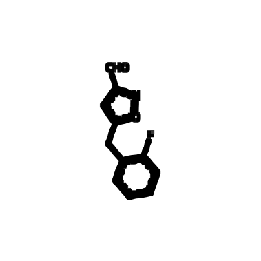 O=Cc1cc(Cc2ccccc2F)on1